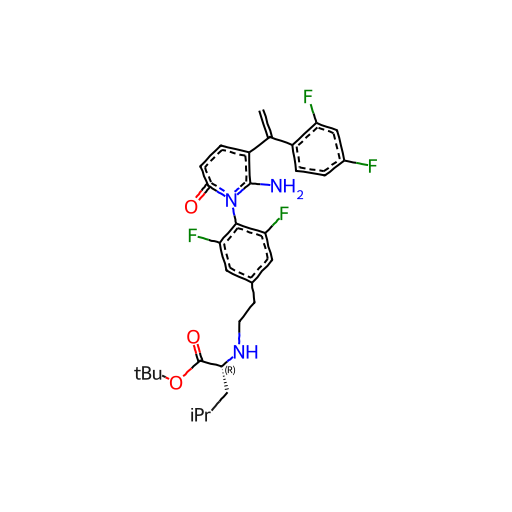 C=C(c1ccc(F)cc1F)c1ccc(=O)n(-c2c(F)cc(CCN[C@H](CC(C)C)C(=O)OC(C)(C)C)cc2F)c1N